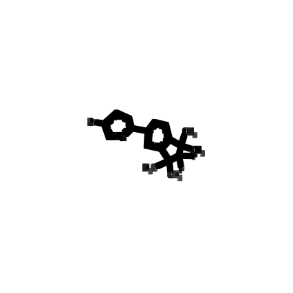 CC1(C)c2ccc(-c3ccc(Br)cn3)cc2C(C)(C)C1(F)F